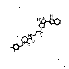 O=C(NCCC(=O)N1Cc2[nH]nc(-c3cc4ccccc4[nH]3)c2C1)C1CCCN(Cc2ccc(F)c(F)c2)C1=O